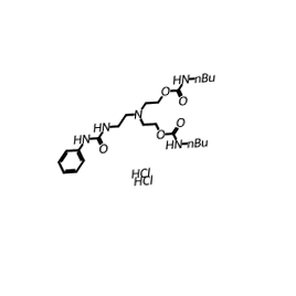 CCCCNC(=O)OCCN(CCNC(=O)Nc1ccccc1)CCOC(=O)NCCCC.Cl.Cl